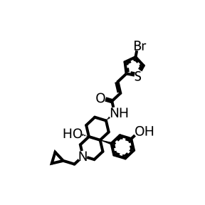 O=C(C=Cc1cc(Br)cs1)N[C@H]1CC[C@]2(O)CN(CC3CC3)CC[C@@]2(c2cccc(O)c2)C1